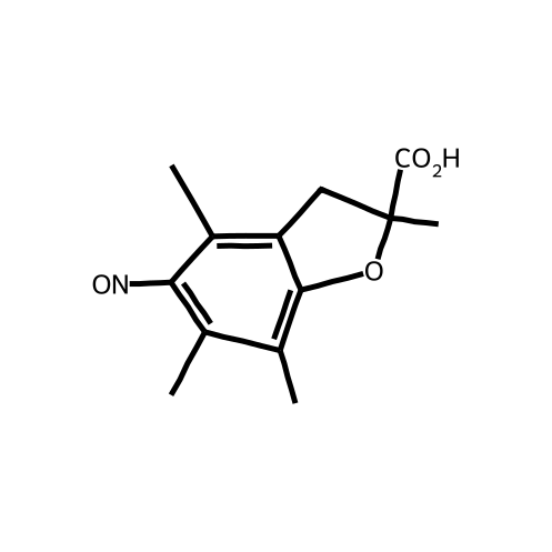 Cc1c(C)c2c(c(C)c1N=O)CC(C)(C(=O)O)O2